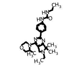 CCNC(=O)Nc1ccc(-c2nc(N3CCOCC3C)c3c(n2)C(C)(C)N(CC)C3)cc1